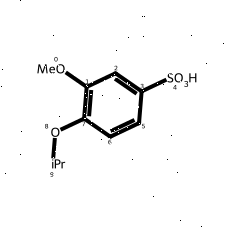 COc1cc(S(=O)(=O)O)ccc1OC(C)C